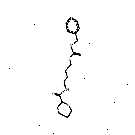 O=C(NCCCCNC(=O)C1CCCCN1)OCc1ccccc1